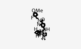 COc1ccc(CCn2cnc3cc(NC(=N[C@H]4C[C@H]5C[C@@H]([C@@H]4C)C5(C)C)N4CC[C@H](N(C)C)C4)ccc3c2=O)c(F)c1